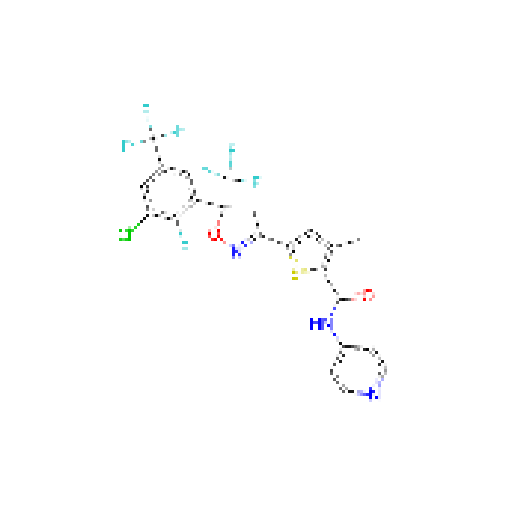 Cc1cc(C2=NO[C@](c3cc(C(F)(F)F)cc(Cl)c3F)(C(F)(F)F)C2)sc1C(=O)Nc1ccncc1